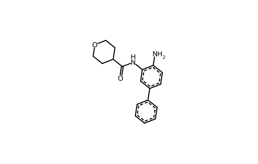 Nc1ccc(-c2ccccc2)cc1NC(=O)C1CCOCC1